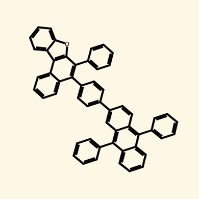 c1ccc(-c2c3ccccc3c(-c3ccccc3)c3cc(-c4ccc(-c5c(-c6ccccc6)c6oc7ccccc7c6c6ccccc56)cc4)ccc23)cc1